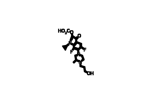 CC1CN(c2c(F)cc3c(=O)c(OC(=O)O)cn(C4CC4)c3c2F)CCN1CCCO